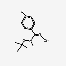 CN(OC(C)(C)C)/C(=N\O)c1ccc(I)cc1